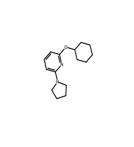 c1cc(OC2CCCCC2)nc(N2CCCC2)c1